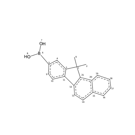 CC1(C)c2cc(B(O)O)ccc2-c2ccc3ccccc3c21